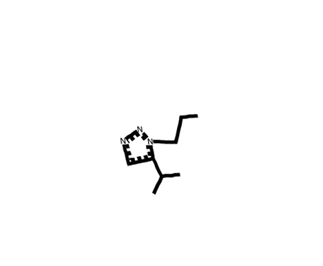 CCCn1nncc1C(C)C